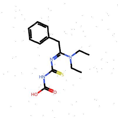 CCN(CC)C(Cc1ccccc1)=NC(=S)NC(=O)O